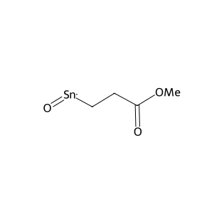 COC(=O)C[CH2][Sn]=[O]